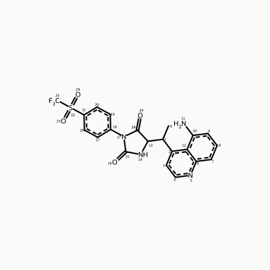 CC(c1ccnc2cccc(N)c12)C1NC(=O)N(c2ccc(S(=O)(=O)C(F)(F)F)cc2)C1=O